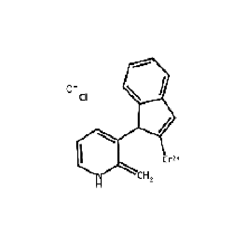 C=C1NC=CC=C1C1[C]([Cr+2])=Cc2ccccc21.[Cl-].[Cl-]